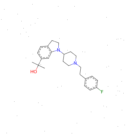 CC(C)(O)c1ccc2c(c1)N(C1CCN(CCc3ccc(F)cc3)CC1)CC2